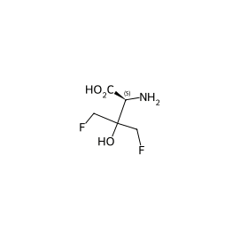 N[C@H](C(=O)O)C(O)(CF)CF